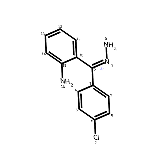 N/N=C(/c1ccc(Cl)cc1)c1ccccc1N